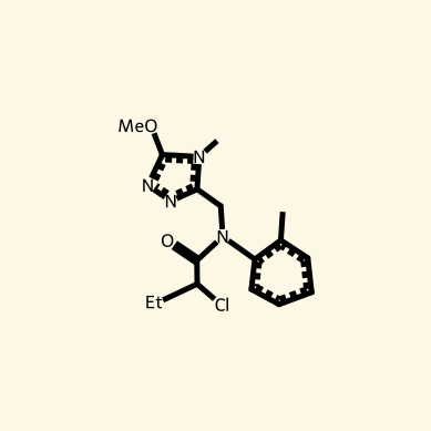 CCC(Cl)C(=O)N(Cc1nnc(OC)n1C)c1ccccc1C